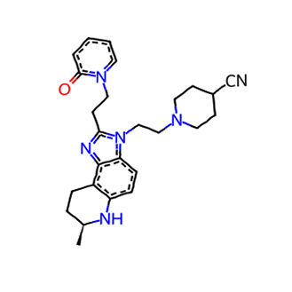 C[C@H]1CCc2c(ccc3c2nc(CCn2ccccc2=O)n3CCN2CCC(C#N)CC2)N1